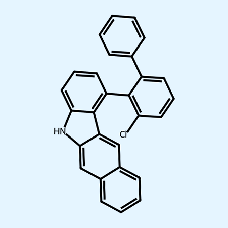 Clc1cccc(-c2ccccc2)c1-c1cccc2[nH]c3cc4ccccc4cc3c12